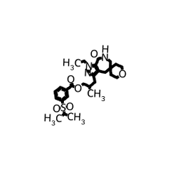 CCn1nc(CC(C)COC(=O)c2cccc(S(=O)(=O)C(C)C)c2)c2c1C(=O)NCC1(CCOCC1)C2